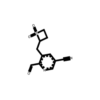 N#Cc1cnc(C=O)c(CC2CCS2(=O)=O)c1